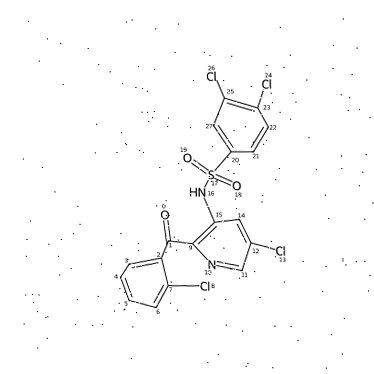 O=C(c1ccccc1Cl)c1ncc(Cl)cc1NS(=O)(=O)c1ccc(Cl)c(Cl)c1